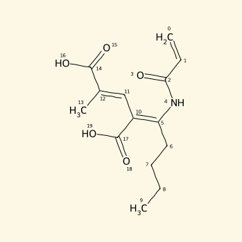 C=CC(=O)NC(CCCC)=C(C=C(C)C(=O)O)C(=O)O